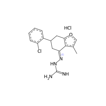 Cc1coc2c1/C(=N/NC(=N)N)CC(c1ccccc1Cl)C2.Cl